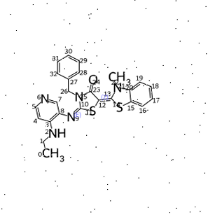 CCNc1ccncc1/N=C1/S/C(=C2\Sc3ccccc3N2C)C(=O)N1Cc1ccccc1